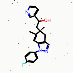 CC1=Cc2c(cnn2-c2ccc(F)cc2)C[C@@]1(C)CC(O)c1cccnc1